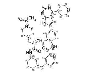 C=C(CN1CCN(C(C)=O)CC1)C(=O)N[C@@H]1CCCN(Cc2ccnc(C(=O)Nc3ccc(-c4cc5c(N6CCOCC6)ncnc5[nH]4)cc3)c2)C1